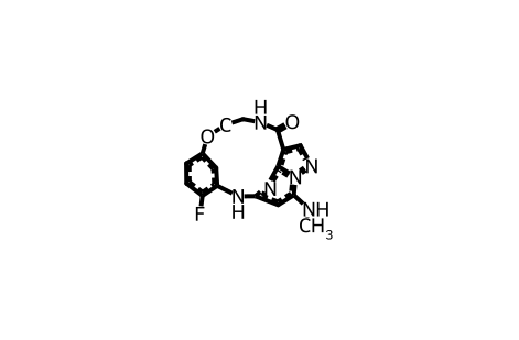 CNc1cc2nc3c(cnn13)C(=O)NCCOc1ccc(F)c(c1)N2